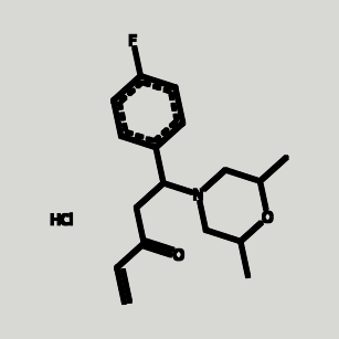 C=CC(=O)CC(c1ccc(F)cc1)N1CC(C)OC(C)C1.Cl